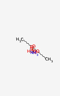 CCCCCCCCOC(=O)CC(C(=O)OCCCCCCCC)S(=O)(=O)O.N